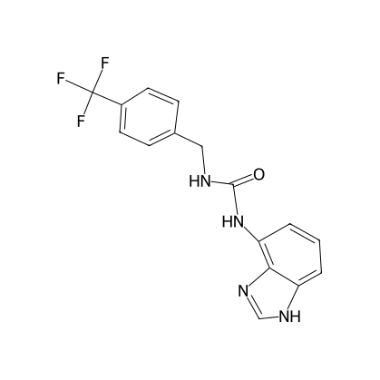 O=C(NCc1ccc(C(F)(F)F)cc1)Nc1cccc2[nH]cnc12